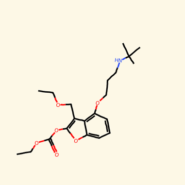 CCOCc1c(OC(=O)OCC)oc2cccc(OCCCNC(C)(C)C)c12